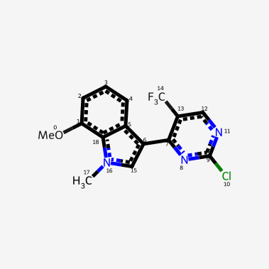 COc1cccc2c(-c3nc(Cl)ncc3C(F)(F)F)cn(C)c12